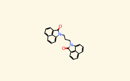 O=C1c2cccc3cccc(c23)N1CCCN1C(=O)c2cccc3cccc1c23